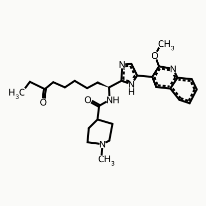 CCC(=O)CCCCC[C@H](NC(=O)C1CCN(C)CC1)c1ncc(-c2cc3ccccc3nc2OC)[nH]1